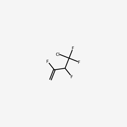 C=C(F)C(F)C(F)(F)Cl